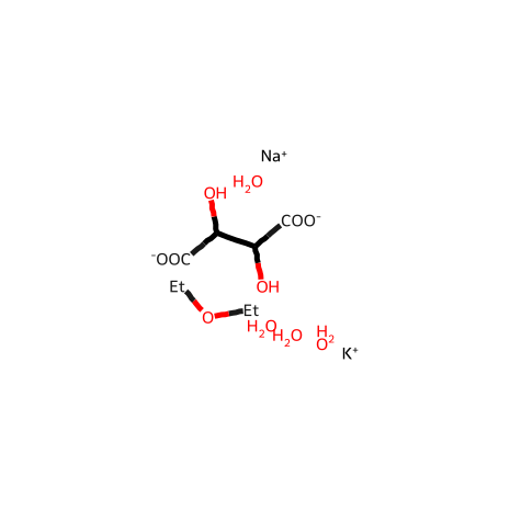 CCOCC.O.O.O.O.O=C([O-])C(O)C(O)C(=O)[O-].[K+].[Na+]